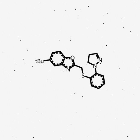 CC(C)(C)c1ccc2oc(CSc3ccccc3N3CCC=N3)nc2c1